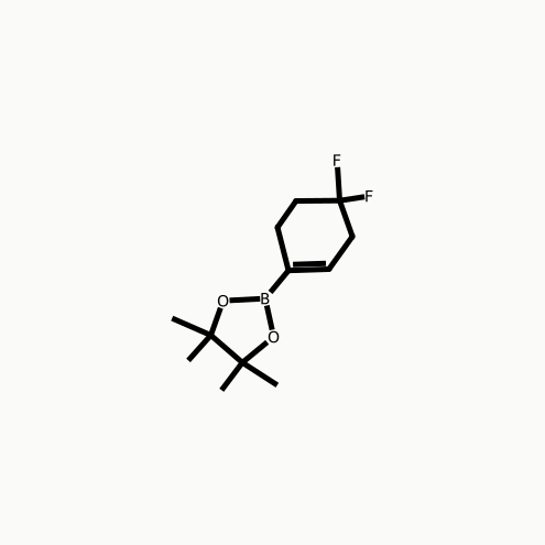 CC1(C)OB(C2=CCC(F)(F)CC2)OC1(C)C